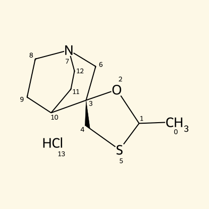 CC1O[C@@]2(CS1)CN1CCC2CC1.Cl